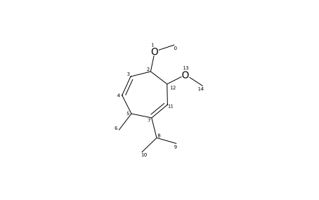 COC1C=CC(C)C(C(C)C)=CC1OC